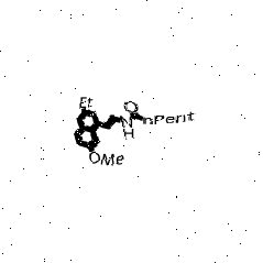 CCCCCC(=O)NCCc1cc(CC)cc2ccc(OC)cc12